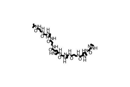 CC(C)NC(=O)CCNC(=O)c1nc(NC(=O)CCNC(=O)c2cc(NC(=O)c3nc(NC(=O)CCNC(=O)c4cc(NC(=O)c5ncc[nH]5)c[nH]4)c[nH]3)c[nH]2)c[nH]1